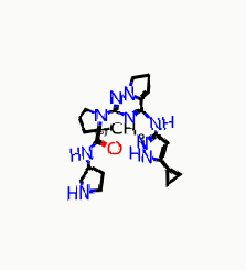 C[C@@]1(C(=O)NC2CCNC2)CCCN1C1=NN2CCC=C2C(Nc2cc(C3CC3)[nH]n2)=N1